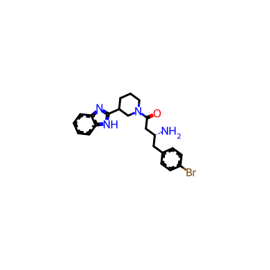 N[C@@H](CC(=O)N1CCCC(c2nc3ccccc3[nH]2)C1)Cc1ccc(Br)cc1